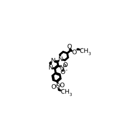 CCOC(=O)C1CCN(c2ncnc(-c3ccc(S(=O)(=O)CC)cc3)c2[N+](=O)[O-])CC1